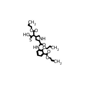 C=CCOC(=O)c1cccc(NC(=O)C2CC(C(C(=O)OCC=C)C(O)=S)CN2)c1OCC=C